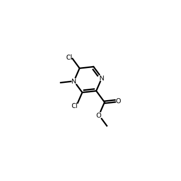 COC(=O)C1=C(Cl)N(C)C(Cl)C=N1